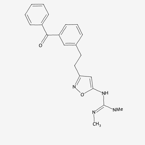 CN=C(NC)Nc1cc(CCc2cccc(C(=O)c3ccccc3)c2)no1